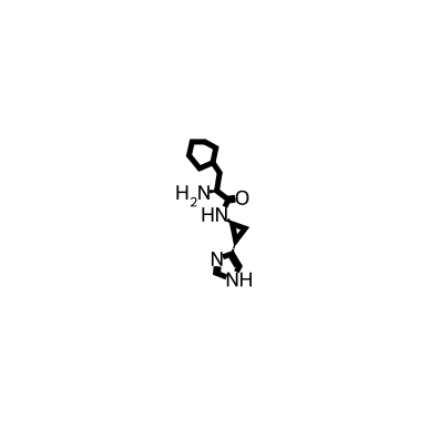 N[C@@H](CC1CCCCC1)C(=O)N[C@H]1C[C@@H]1c1c[nH]cn1